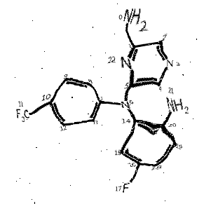 Nc1cncc(N(c2ccc(C(F)(F)F)cc2)c2cc(F)ccc2N)n1